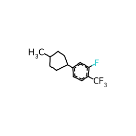 CC1CCC(c2ccc(C(F)(F)F)c(F)c2)CC1